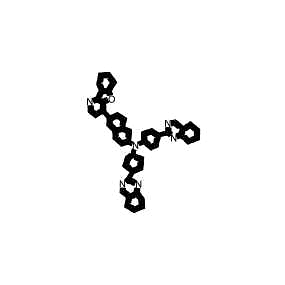 c1ccc2nc(-c3ccc(N(c4ccc(-c5ncc6ccccc6n5)cc4)c4ccc5cc(-c6ccnc7c6oc6ccccc67)ccc5c4)cc3)ncc2c1